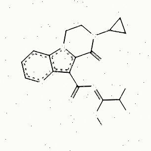 CN/C(=N\C(=N)c1c2n(c3cccnc13)CCN(C1CC1)C2=O)C(F)F